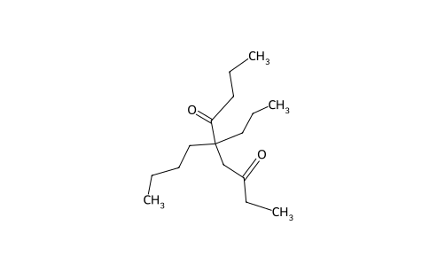 CCCCC(CCC)(CC(=O)CC)C(=O)CCC